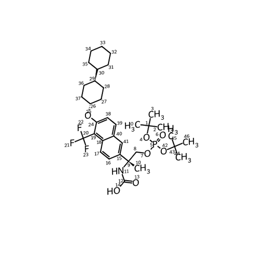 CC(C)(C)OP(=O)(OC[C@](C)(NC(=O)O)c1ccc2c(C(F)(F)F)c(O[C@H]3CC[C@H](C4CCCCC4)CC3)ccc2c1)OC(C)(C)C